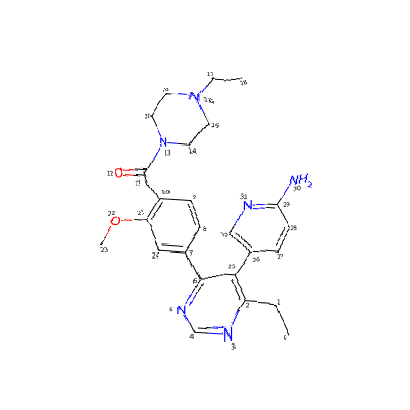 CCc1ncnc(-c2ccc(C(=O)N3CCN(CC)CC3)c(OC)c2)c1-c1ccc(N)nc1